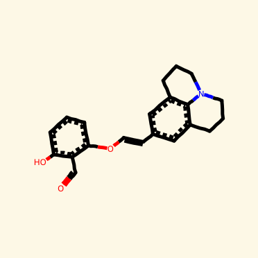 O=Cc1c(O)cccc1OC=Cc1cc2c3c(c1)CCCN3CCC2